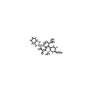 CNc1ccc([C@H](C(=O)NC(C)C)N2C(=O)C(C3Cc4ccccc4C3)NC(=O)[C@H]2CC(C)C)cc1